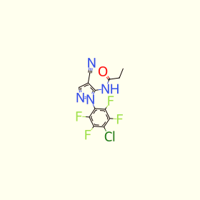 CCC(=O)Nc1c(C#N)cnn1-c1c(F)c(F)c(Cl)c(F)c1F